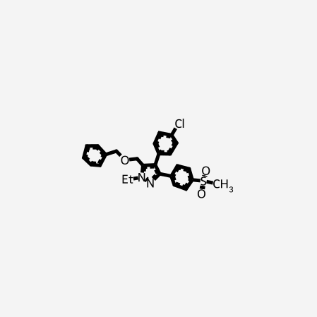 CCn1nc(-c2ccc(S(C)(=O)=O)cc2)c(-c2ccc(Cl)cc2)c1COCc1ccccc1